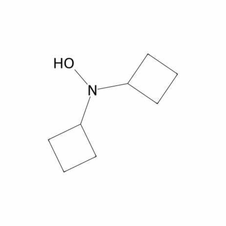 ON(C1CCC1)C1CCC1